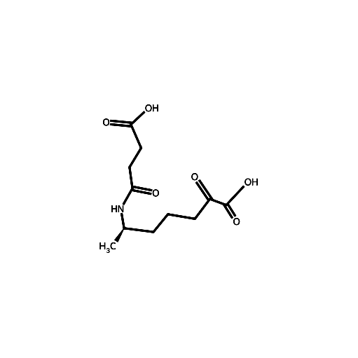 C[C@H](CCCC(=O)C(=O)O)NC(=O)CCC(=O)O